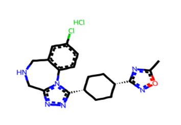 Cc1nc([C@H]2CC[C@@H](c3nnc4n3-c3ccc(Cl)cc3CNC4)CC2)no1.Cl